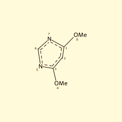 COc1[c]c(OC)n[c]n1